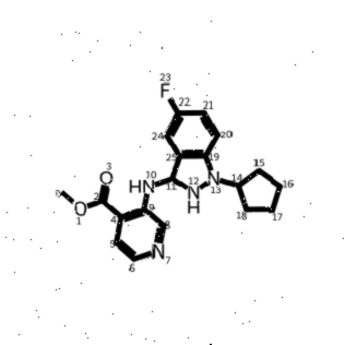 COC(=O)c1ccncc1NC1NN(C2CCCC2)c2ccc(F)cc21